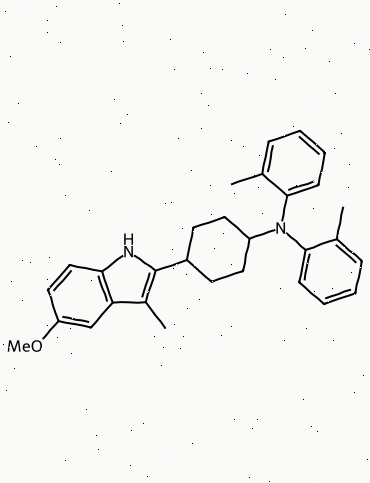 COc1ccc2[nH]c(C3CCC(N(c4ccccc4C)c4ccccc4C)CC3)c(C)c2c1